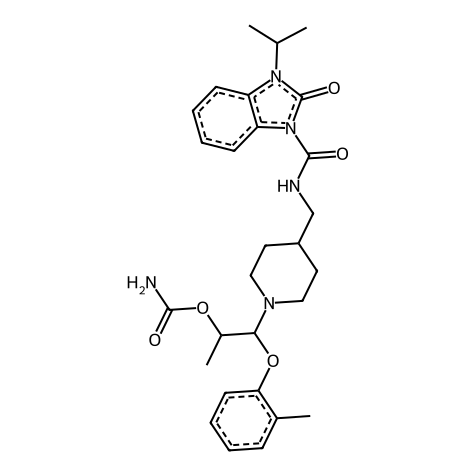 Cc1ccccc1OC(C(C)OC(N)=O)N1CCC(CNC(=O)n2c(=O)n(C(C)C)c3ccccc32)CC1